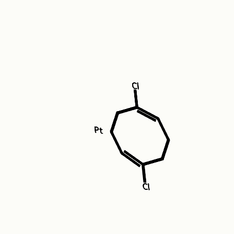 ClC1=CCCC(Cl)=CCC1.[Pt]